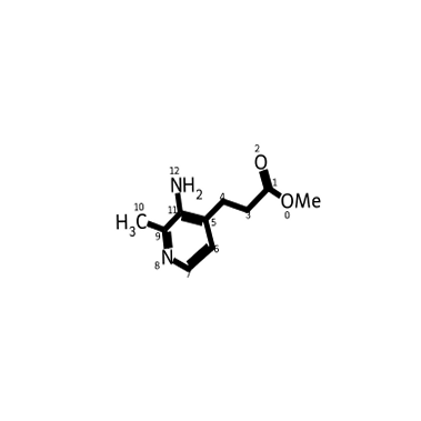 COC(=O)CCc1ccnc(C)c1N